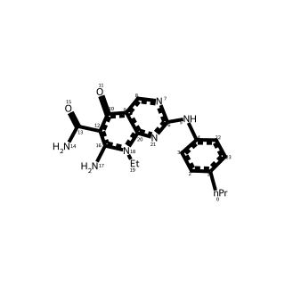 CCCc1ccc(Nc2ncc3c(=O)c(C(N)=O)c(N)n(CC)c3n2)cc1